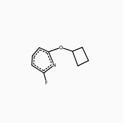 Fc1cccc(OC2CCC2)n1